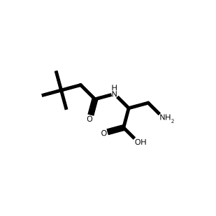 CC(C)(C)CC(=O)NC(CN)C(=O)O